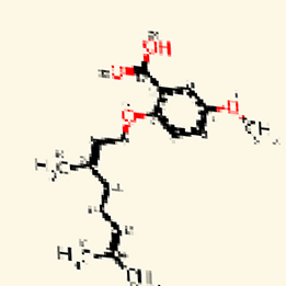 COc1ccc(OCC=C(C)CCC=C(C)C)c(C(=O)O)c1